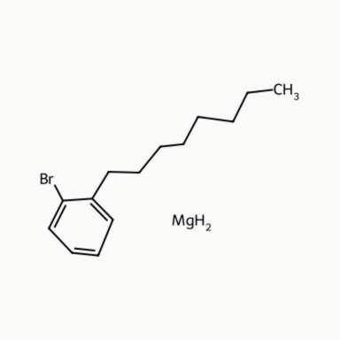 CCCCCCCCc1ccccc1Br.[MgH2]